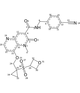 Cn1c(=O)c(C(=O)NCc2ccc(C#N)cc2)cc2nccc(OCC3(S(=O)(=O)C4COC4)CC3)c21